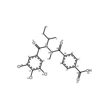 CCC(C)N(C(=O)c1cc(Cl)c(Cl)c(Cl)c1)N(C)C(=O)c1ccc(C(=O)O)cc1